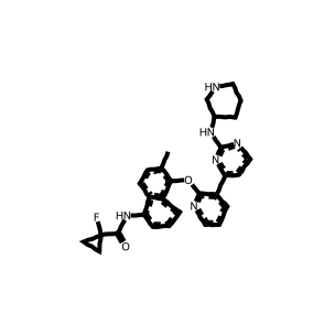 Cc1ccc2c(NC(=O)C3(F)CC3)cccc2c1Oc1ncccc1-c1ccnc(NC2CCCNC2)n1